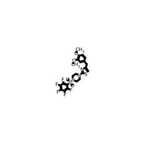 COc1ccc(Cc2csc(N3CCN(S(=O)(=O)c4c(F)c(F)c(F)c(F)c4F)CC3)n2)cc1OC